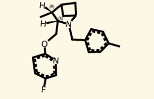 Cc1ccc(CN2C3CC(C3)[C@@H](C)[C@H]2COc2ccc(F)cn2)cc1